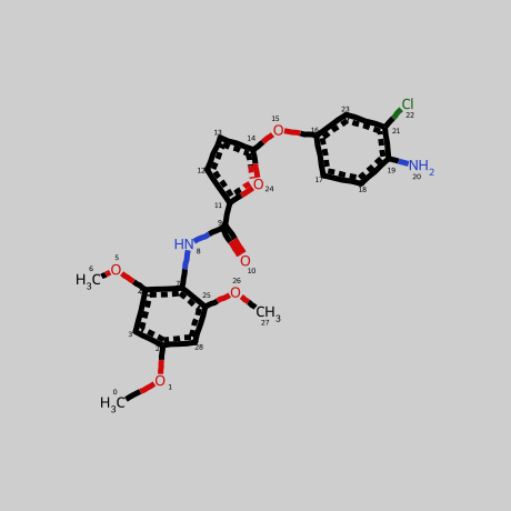 COc1cc(OC)c(NC(=O)c2ccc(Oc3ccc(N)c(Cl)c3)o2)c(OC)c1